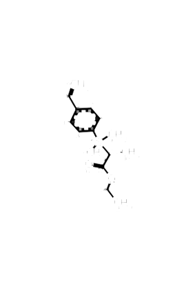 C=Cc1ccc(S(C)(C)[C@H](C)C(=O)OCC)cc1